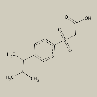 CC(C)C(C)c1ccc(S(=O)(=O)CC(=O)O)cc1